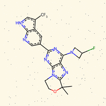 CC1(C)OCCn2c1nc1c(N3CC(F)C3)nc(-c3cnc4[nH]cc(C(F)(F)F)c4c3)nc12